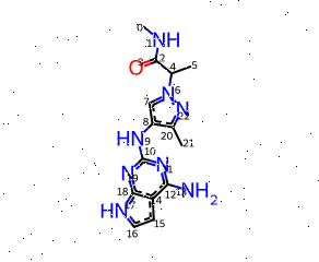 CNC(=O)C(C)n1cc(Nc2nc(N)c3cc[nH]c3n2)c(C)n1